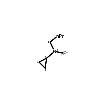 CCCCN(CC)C1CC1